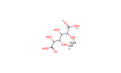 O=C(O)C(O)C(O)C(O)C(O)C(=O)O.[LiH].[LiH]